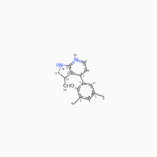 Cc1cc(C)cc(-c2ccnc3c2C(C=O)CN3)c1